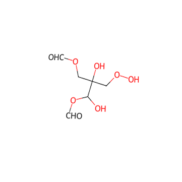 O=COCC(O)(COO)C(O)OC=O